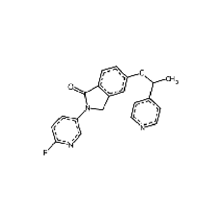 CC(Oc1ccc2c(c1)CN(c1ccc(F)nc1)C2=O)c1ccncc1